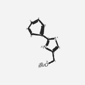 CC(C)COCc1csc(-c2ccccc2)n1